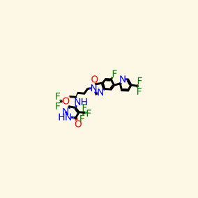 O=c1[nH]ncc(N[C@H](CCCn2cnc3cc(-c4ccc(C(F)F)cn4)c(F)cc3c2=O)COC(F)F)c1C(F)(F)F